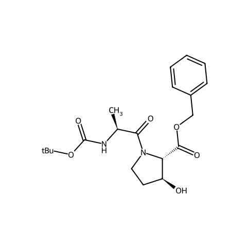 C[C@H](NC(=O)OC(C)(C)C)C(=O)N1CC[C@H](O)[C@H]1C(=O)OCc1ccccc1